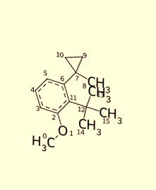 COc1cccc(C2(C)CC2)c1C(C)(C)C